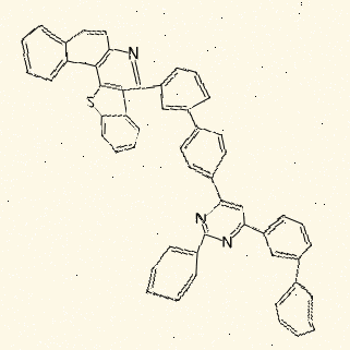 c1ccc(-c2cccc(-c3cc(-c4ccc(-c5cccc(-c6nc7ccc8ccccc8c7c7sc8ccccc8c67)c5)cc4)nc(-c4ccccc4)n3)c2)cc1